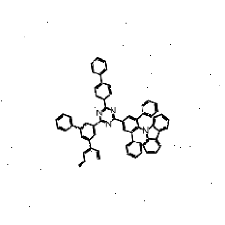 C=C/C=C(\C=C)c1cc(-c2ccccc2)cc(-c2nc(-c3cc(-c4ccccc4)c(-n4c5ccccc5c5ccccc54)c(-c4ccccc4)c3)nc(C3C=CC(c4ccccc4)=CC3)n2)c1